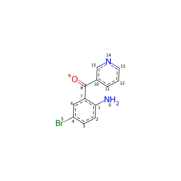 Nc1ccc(Br)cc1C(=O)c1cccnc1